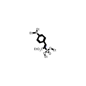 CCOC(=O)/C(=C\c1ccc(N(CC)CC)cc1)P(=O)(OCC)OCC